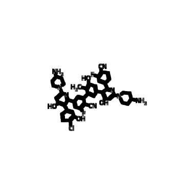 Cc1c(O)cc(-c2c(O)cc(N3CCC(N)CC3)nc2-c2ccc(C#N)c(F)c2)cc1-c1cc(-c2nc(N3CCC(N)CC3)cc(O)c2-c2ccc(Cl)c(O)c2)cc(F)c1C#N